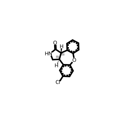 O=C1NC[C@@H]2c3cc(Cl)ccc3Oc3ccccc3[C@@H]12